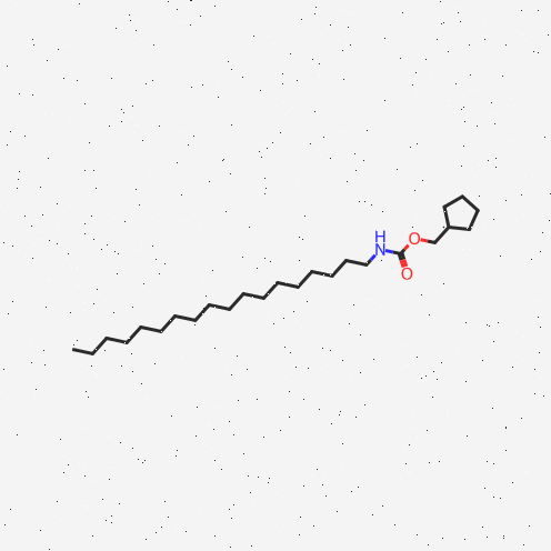 CCCCCCCCCCCCCCCCCCNC(=O)OC[C]1CCCC1